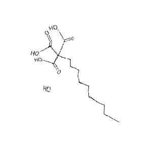 CCCCCCCCCC(C(=O)O)(C(=O)O)C(=O)O.Cl